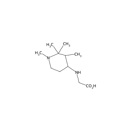 CC1C(NCC(=O)O)CCN(C)C1(C)C